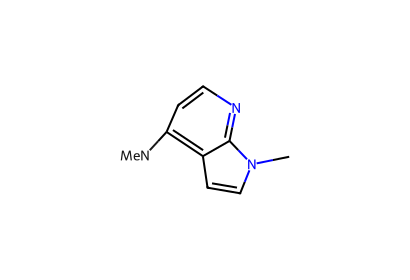 CNc1ccnc2c1ccn2C